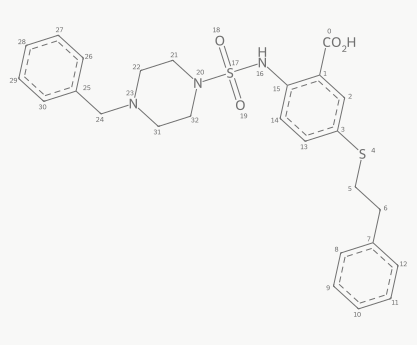 O=C(O)c1cc(SCCc2ccccc2)ccc1NS(=O)(=O)N1CCN(Cc2ccccc2)CC1